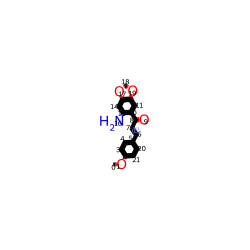 COc1ccc(/C=C/C(=O)c2cc3c(cc2N)OCO3)cc1